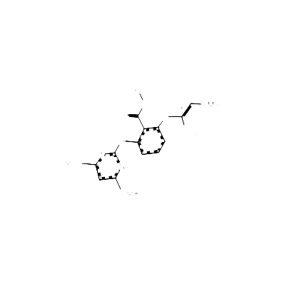 CO/C=C(/Oc1cccc(Oc2nc(OC)cc(OC)n2)c1C(=O)OC(C)(C)C)C(=O)O